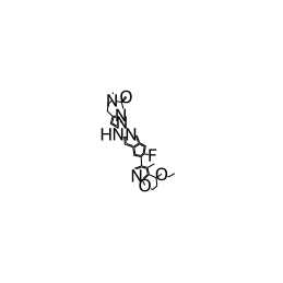 CCOC1CCOc2ncc(-c3cc4cc(Nc5cc6n(n5)CC(=O)N(C)CC6)ncc4cc3F)c(C)c21